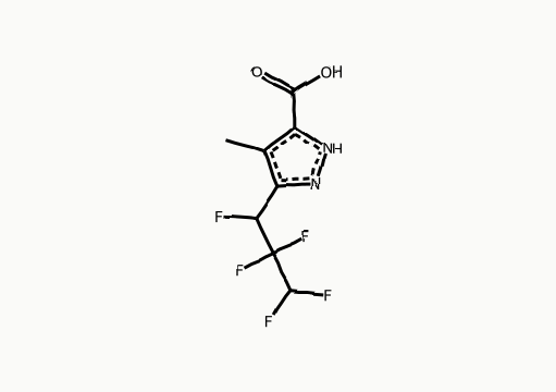 Cc1c(C(F)C(F)(F)C(F)F)n[nH]c1C(=O)O